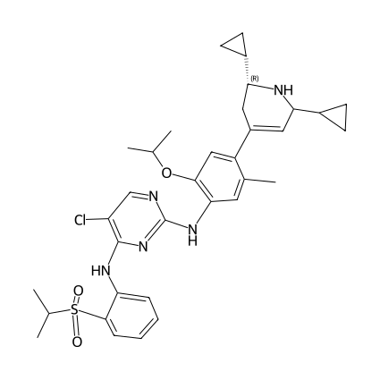 Cc1cc(Nc2ncc(Cl)c(Nc3ccccc3S(=O)(=O)C(C)C)n2)c(OC(C)C)cc1C1=CC(C2CC2)N[C@@H](C2CC2)C1